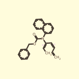 C=C/C=C\C(=C/C)N(C(=O)OCc1ccccc1)c1cccc2ccccc12